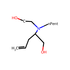 C=CCC(CO)N(CCO)CCCCC